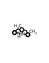 Cc1cccc2c1CC1=C(N2)C2=C(Cc3ccccc3N2)C(C)C1